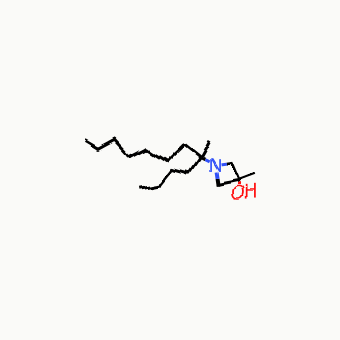 CCCCCCCC(C)(CCCC)N1CC(C)(O)C1